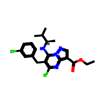 CCOC(=O)c1cnn2c(N[C@H](C)C(C)C)c(Cc3cccc(Cl)c3)c(Cl)nc12